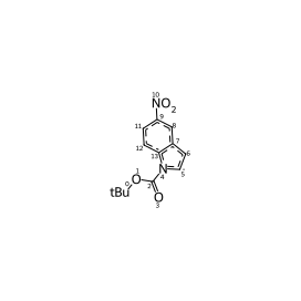 CC(C)(C)OC(=O)n1[c]cc2cc([N+](=O)[O-])ccc21